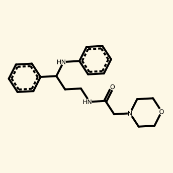 O=C(CN1CCOCC1)NCCC(Nc1ccccc1)c1ccccc1